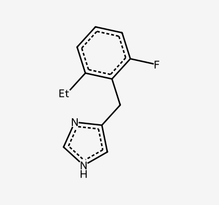 CCc1cccc(F)c1Cc1c[nH]cn1